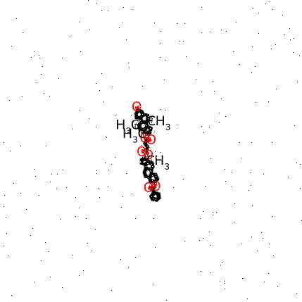 C[C@@H]1CC2=CC(=O)CCC2C2C1C1CC[C@H](OC(=O)CCC(=O)O[C@H]3CCC4C5CCc6cc(OC(=O)c7ccccc7)ccc6C5CC[C@@]43C)[C@@]1(C)C[C@@H]2C